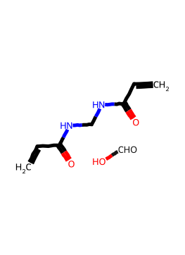 C=CC(=O)NCNC(=O)C=C.O=CO